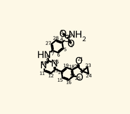 NS(=O)(=O)c1ccc(Nc2nccc(-c3ccc4c(c3)C(=O)C3(CC3)O4)n2)cc1